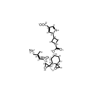 CO[C@@H]1[C@H](OC(=O)N2CC(n3cc(C(=O)[O-])cn3)C2)CC[C@]2(CO2)[C@H]1[C@@]1(C)O[C@@H]1CC=C(C)C.[Na+]